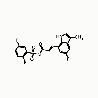 Cc1c[nH]c2c(C=CC(=O)NS(=O)(=O)c3cc(F)ccc3F)cc(F)cc12